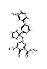 CNC(=O)c1nn(CC2(c3cccc(-c4cncc(F)c4)c3)CCCC2)cc(O)c1=O